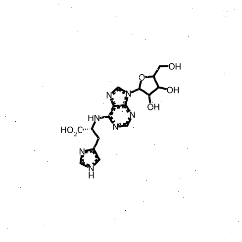 O=C(O)[C@@H](Cc1c[nH]cn1)Nc1ncnc2c1ncn2C1OC(CO)C(O)C1O